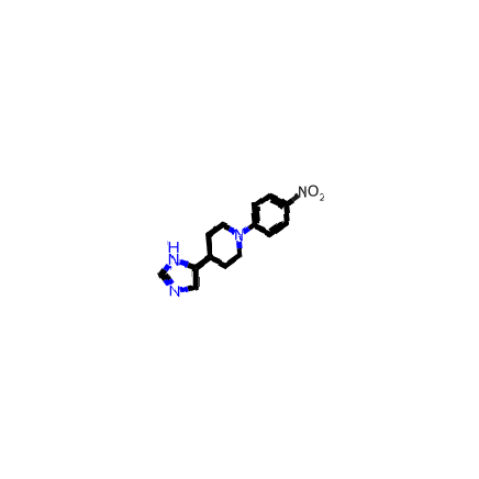 O=[N+]([O-])c1ccc(N2CCC(C3CN=CN3)CC2)cc1